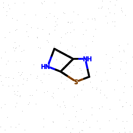 C1NC2CNC2S1